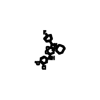 COc1ccc(NC(=O)CN2C(=O)C(c3ccc(F)cc3)=NC23CCCCCC3)cc1Cl